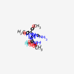 CCC(=O)N[C@H]1C[C@@H](n2cnc3c(NCC(c4ccc(OC)cc4)c4ccc(OC)cc4)nc(N4CC[C@@H](N)C4)nc32)[C@H](OC(=O)C(F)(F)F)[C@@H]1O